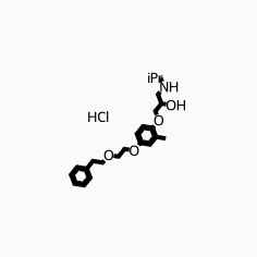 Cc1cc(OCCOCCc2ccccc2)ccc1OCC(O)CNC(C)C.Cl